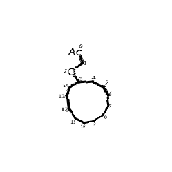 CC(=O)COC1CCCCCCCCCCC1